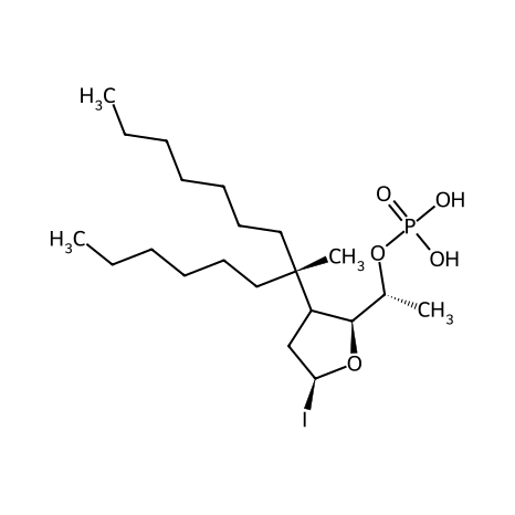 CCCCCCC[C@@](C)(CCCCCC)C1C[C@H](I)O[C@@H]1[C@@H](C)OP(=O)(O)O